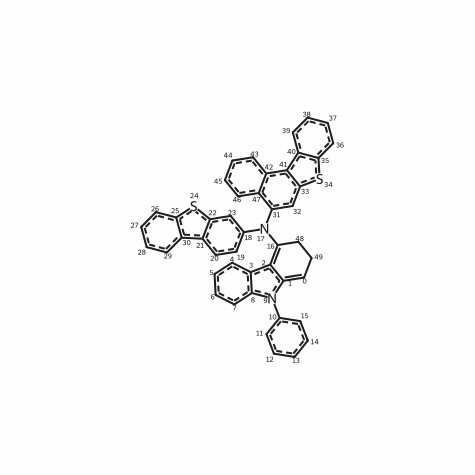 C1=c2c(c3ccccc3n2-c2ccccc2)=C(N(c2ccc3c(c2)sc2ccccc23)c2cc3sc4ccccc4c3c3ccccc23)CC1